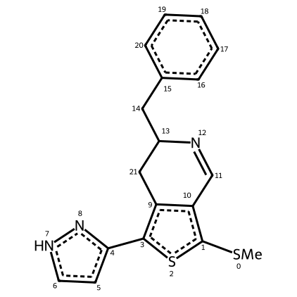 CSc1sc(-c2cc[nH]n2)c2c1C=NC(Cc1ccccc1)C2